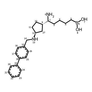 NC(CCCCB(O)O)[C@H]1CC[C@H](NCc2ccc(-c3ccccc3)cc2)C1